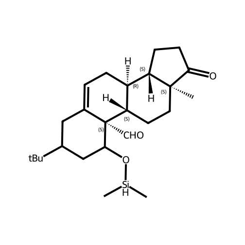 C[SiH](C)OC1CC(C(C)(C)C)CC2=CC[C@H]3[C@@H]4CCC(=O)[C@@]4(C)CC[C@@H]3[C@]21C=O